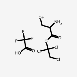 NC(CO)C(=O)OC(Cl)(Cl)CCl.O=C(O)C(F)(F)F